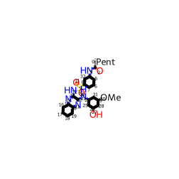 CCCC(C)C(=O)Nc1cccc(S(=O)(=O)Nc2nc3ccccc3nc2Nc2cc(O)cc(OC)c2)c1